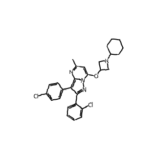 Cc1cc(OC2CN(C3CCCCC3)C2)n2nc(-c3ccccc3Cl)c(-c3ccc(Cl)cc3)c2n1